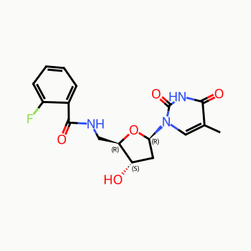 Cc1cn([C@H]2C[C@H](O)[C@@H](CNC(=O)c3ccccc3F)O2)c(=O)[nH]c1=O